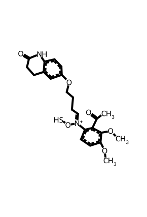 COc1ccc([N+](=CCCCOc2ccc3c(c2)CCC(=O)N3)OS)c(C(C)=O)c1OC